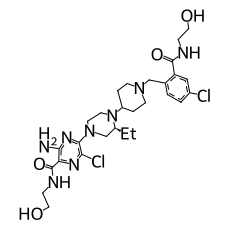 CC[C@H]1CN(c2nc(N)c(C(=O)NCCO)nc2Cl)CCN1C1CCN(Cc2ccc(Cl)cc2C(=O)NCCO)CC1